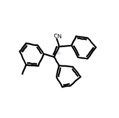 Cc1cccc(/C(=C(\C#N)c2ccccc2)c2ccccc2)c1